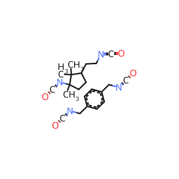 CC1(N=C=O)CCC(CCN=C=O)C1(C)C.O=C=NCc1ccc(CN=C=O)cc1